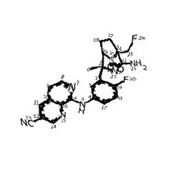 C[C@]1(c2cc(Nc3nccc4cc(C#N)cnc34)ccc2F)N=C(N)[C@@]2(CF)CCC1S2(=O)=O